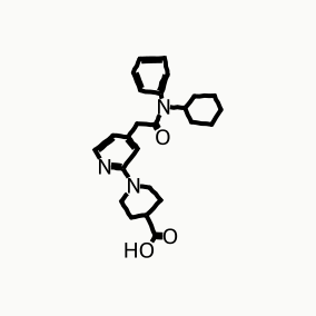 O=C(O)C1CCN(c2cc(CC(=O)N(c3ccccc3)C3CCCCC3)ccn2)CC1